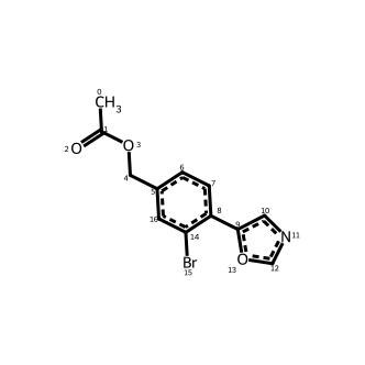 CC(=O)OCc1ccc(-c2cnco2)c(Br)c1